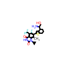 Cc1c(-c2cc3c(s2)CCCC3C(N)CO)c(F)c(C(F)F)c2c(=O)[nH]c(=O)n(C3CC3)c12